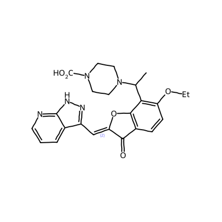 CCOc1ccc2c(c1C(C)N1CCN(C(=O)O)CC1)O/C(=C\c1n[nH]c3ncccc13)C2=O